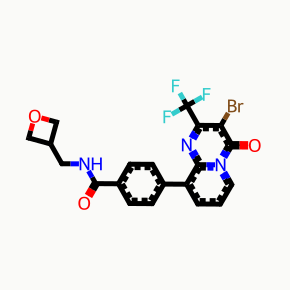 O=C(NCC1COC1)c1ccc(-c2cccn3c(=O)c(Br)c(C(F)(F)F)nc23)cc1